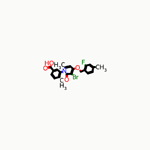 Cc1ccc(COc2cc(C)n(-c3cc(C(=O)O)ccc3C)c(=O)c2Br)c(F)c1